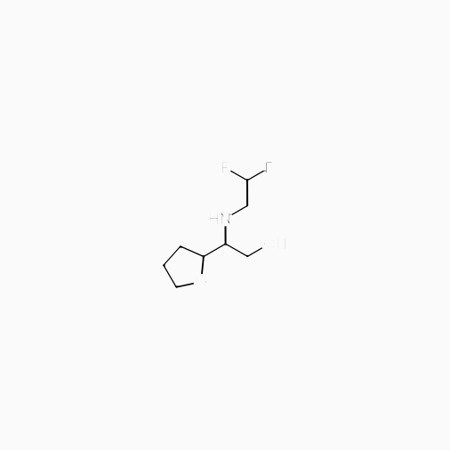 OCC(NCC(F)F)C1CCCO1